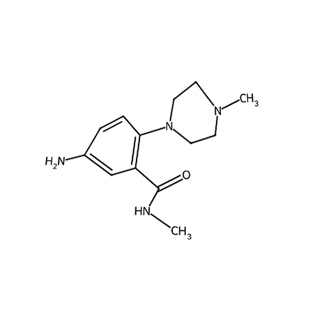 CNC(=O)c1cc(N)ccc1N1CCN(C)CC1